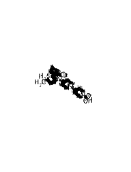 CC/C=C\C1=C(C)C2(CCC2)C(=O)N1C1CCN(C2CCN(C(=O)O)CC2)CC1